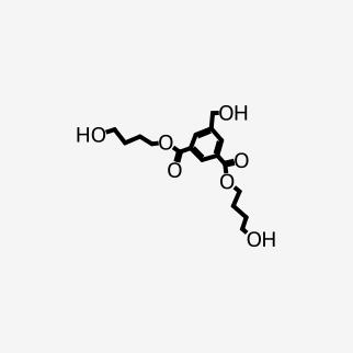 O=C(OCCCCO)c1cc(CO)cc(C(=O)OCCCCO)c1